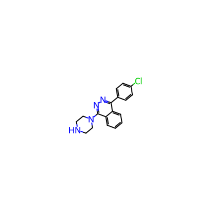 Clc1ccc(-c2nnc(N3CCNCC3)c3ccccc23)cc1